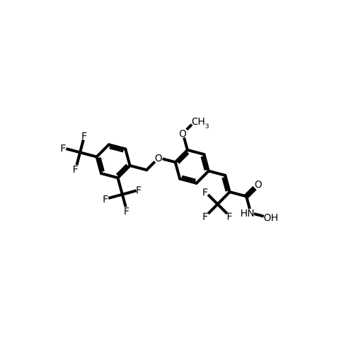 COc1cc(/C=C(/C(=O)NO)C(F)(F)F)ccc1OCc1ccc(C(F)(F)F)cc1C(F)(F)F